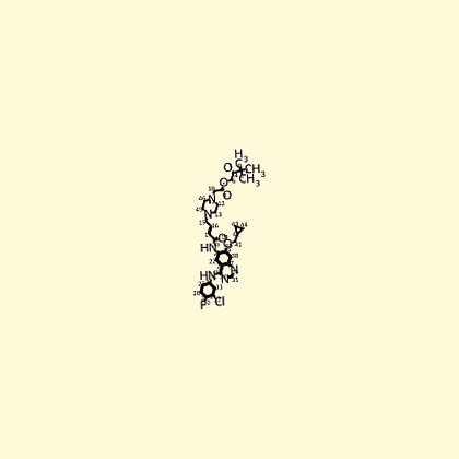 CC(C)(C)C(=O)COC(=O)CN1CCN(CC=CC(=O)Nc2cc3c(Nc4ccc(F)c(Cl)c4)ncnc3cc2OCC2CC2)CC1